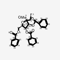 CO[C@]1(CF)O[C@H](COC(=O)c2ccccc2)[C@@H](OC(=O)c2ccccc2)[C@@H]1OC(=O)c1ccccc1